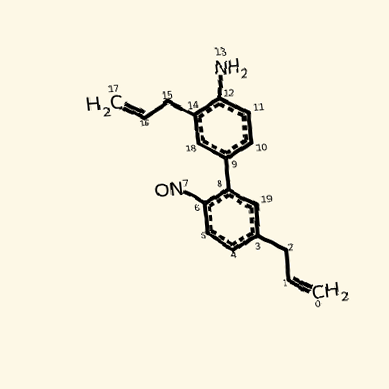 C=CCc1ccc(N=O)c(-c2ccc(N)c(CC=C)c2)c1